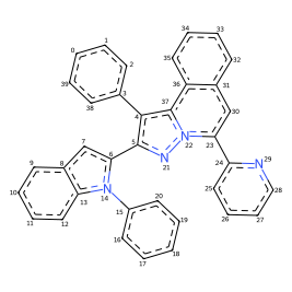 c1ccc(-c2c(-c3cc4ccccc4n3-c3ccccc3)nn3c(-c4ccccn4)cc4ccccc4c23)cc1